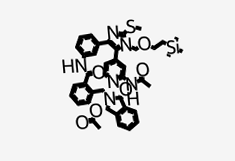 CSc1nc(-c2cccc(NC(=O)c3cccc(OC(C)=O)c3CN3Cc4ccccc4C3=O)c2)c(-c2ccnc(NC(C)=O)c2)n1COCC[Si](C)(C)C